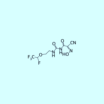 N#CC(=NO)C(=O)NC(=O)NCCOC(F)C(F)(F)F